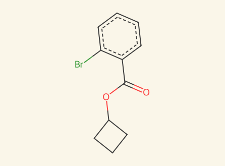 O=C(OC1CCC1)c1ccccc1Br